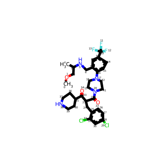 COCC(C)NCc1cc(C(F)(F)F)ccc1N1CCN(C(=O)C(Cc2ccc(Cl)cc2Cl)C(=O)C2CCNCC2)CC1